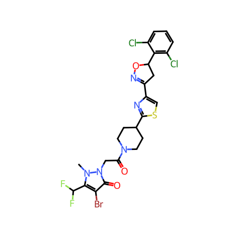 Cn1c(C(F)F)c(Br)c(=O)n1CC(=O)N1CCC(c2nc(C3=NOC(c4c(Cl)cccc4Cl)C3)cs2)CC1